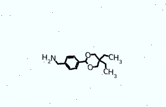 CCC1(CC)COC(c2ccc(CN)cc2)OC1